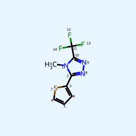 Cn1c(-c2cccs2)nnc1C(F)(F)F